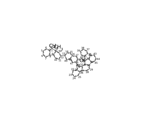 CC1(C)c2ccccc2-c2ccc(-c3ccc4ccc(-n5c6ccccc6c6ccc7c(c65)P(=O)(c5ccccc5)c5ccccc5-7)cc4c3)cc21